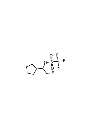 O=S(=O)(OC(CF)C1CCCC1)C(F)(F)F